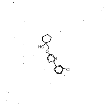 OC1(COc2cnc(-c3cccc(Cl)c3)nc2)CCCCC1